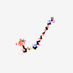 B[C@H]1C[C@@H](OCSSC(C)(C)CNC(=O)CCOCCOCCOCCOCCNC(=O)CC)C(COP(=O)(O)P(=O)(O)C(C)C)O1